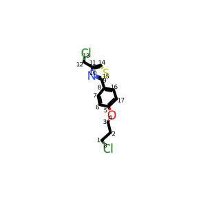 ClCCCOc1ccc(-c2nc(CCl)cs2)cc1